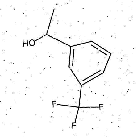 C[C](O)c1cccc(C(F)(F)F)c1